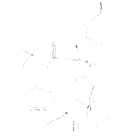 CCOC(C[C@H](CC(=O)OC(C)(C)C)NC(=O)[C@H](C)NC(=O)[C@@H](NC(=O)C(C)(O)c1ccccc1)C(C)C)OCC